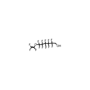 OCC(F)(F)C(F)(F)C(F)(F)C(F)(F)C(F)(F)OC(F)=C(F)F